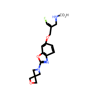 O=C(O)NCC(=CF)COc1ccc2nc(N3CC4(COC4)C3)oc2c1